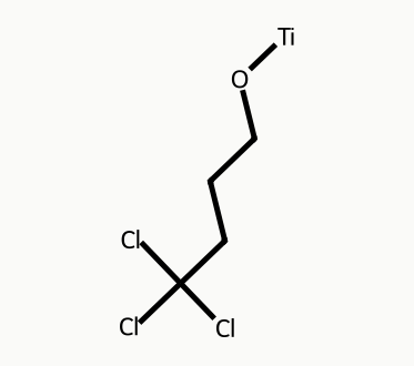 ClC(Cl)(Cl)CCC[O][Ti]